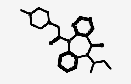 CCC(C)N1C(=O)c2cncnc2N(C(=O)CN2CCN(C)CC2)c2ccccc21